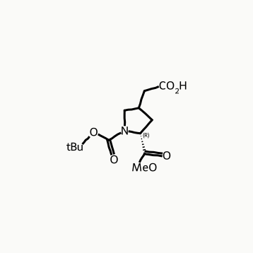 COC(=O)[C@H]1CC(CC(=O)O)CN1C(=O)OC(C)(C)C